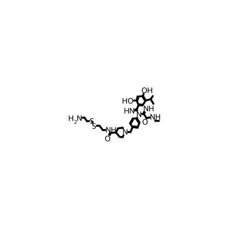 CCNC(=O)C(=N)N(C(=N)c1cc(C(C)C)c(O)cc1O)c1ccc(CN2CCC(C(=O)NCCSSCCN)CC2)cc1